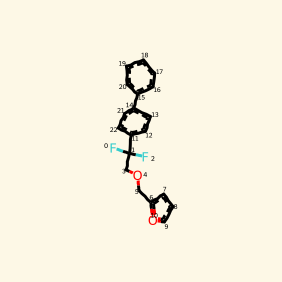 FC(F)(COCc1ccco1)c1ccc(-c2ccccc2)cc1